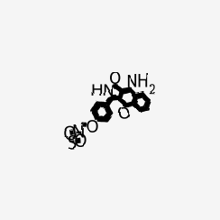 NC1=C2C(=O)NC(c3ccc(OCN4OSO4)cc3)=C2C(=O)c2ccccc21